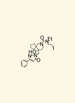 CCN(CCI)C(=O)N1CCC(O)(Cn2cnc(-c3ccccc3)cc2=O)C2(CCCC2)C1